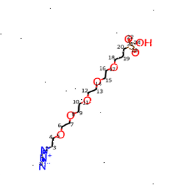 [N-]=[N+]=NCCOCCOCCOCCOCCOCCCS(=O)(=O)O